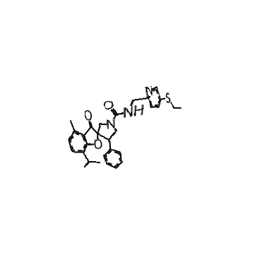 CCSc1ccc(CNC(=O)N2CC(c3ccccc3)C3(C2)Oc2c(C(C)C)ccc(C)c2C3=O)nc1